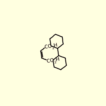 C1CCC(C2CCCCC2)CC1.O=C(O)/C=C\C(=O)O